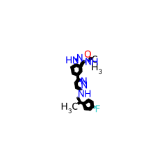 CC(=O)Nc1n[nH]c2ccc(-c3ccc(NCC(C)c4ccc(F)cc4)nn3)cc12